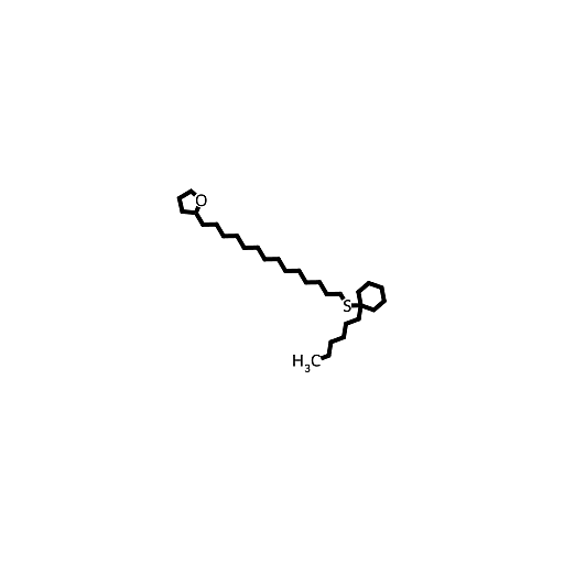 CCCCCCC1(SCCCCCCCCCCCCCCC2CCCO2)CCCCC1